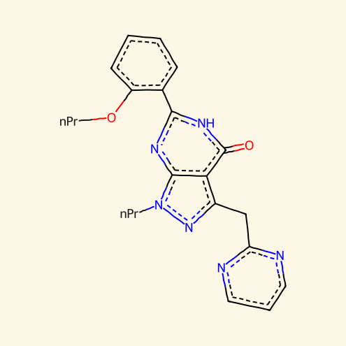 CCCOc1ccccc1-c1nc2c(c(Cc3ncccn3)nn2CCC)c(=O)[nH]1